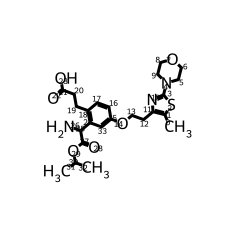 Cc1sc(N2CCOCC2)nc1CCOc1ccc(CCC(=O)O)c(C(N)C(=O)OC(C)C)c1